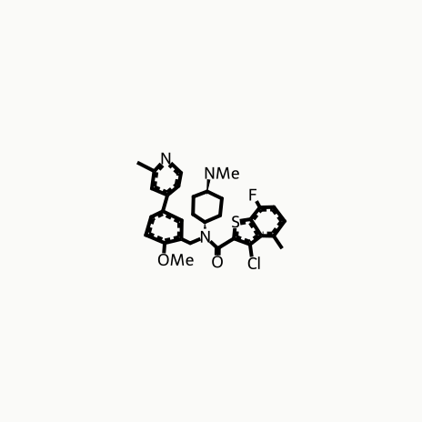 CN[C@H]1CC[C@H](N(Cc2cc(-c3ccnc(C)c3)ccc2OC)C(=O)c2sc3c(F)ccc(C)c3c2Cl)CC1